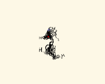 C/C=C1\C=C[C@@]2(C)C(=C1)CC[C@@H]1[C@@H]2[C@@H](O)C[C@@]2(C)[C@H]1C[C@H]1O[C@@H](c3ccc(Cc4cccc(NC(=O)[C@H](C)NC(=O)CNC(=O)C(CC(=O)O)SC(C)CC)c4)cc3)O[C@]12C(=O)COP(=O)(O)O